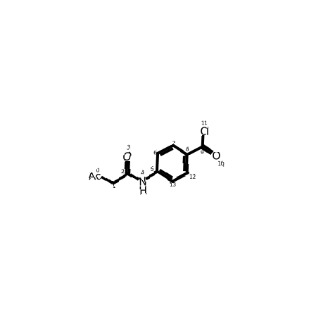 CC(=O)CC(=O)Nc1ccc(C(=O)Cl)cc1